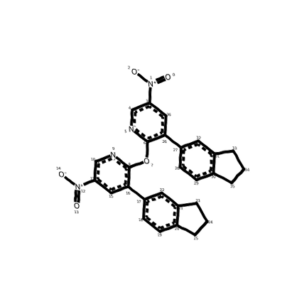 O=[N+]([O-])c1cnc(Oc2ncc([N+](=O)[O-])cc2-c2ccc3c(c2)CCC3)c(-c2ccc3c(c2)CCC3)c1